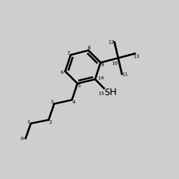 CCCCCc1cccc(C(C)(C)C)c1S